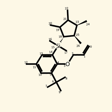 C=CCOc1c(C(C)(C)C)cc(C)cc1[Si](C)(C)[C@@H]1C(C)C(C)[C@@H](C)[C@H]1C